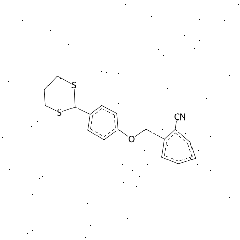 N#Cc1ccccc1COc1ccc(C2SCCCS2)cc1